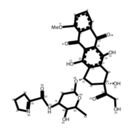 COc1cccc2c1C(=O)c1c(O)c3c(c(O)c1C2=O)C[C@@](O)(C(=O)CO)C[C@@H]3OC1CC(NC(=O)C2=NCCC2)C(O)C(C)O1